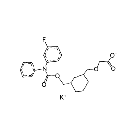 O=C([O-])COCC1CCCC(COC(=O)N(c2ccccc2)c2cccc(F)c2)C1.[K+]